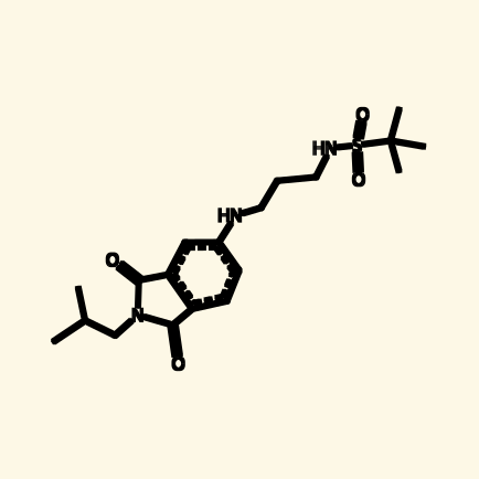 CC(C)CN1C(=O)c2ccc(NCCCNS(=O)(=O)C(C)(C)C)cc2C1=O